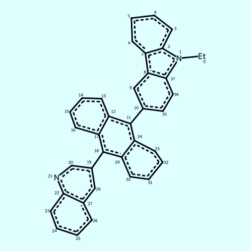 CCn1c2ccccc2c2cc(-c3c4ccccc4c(-c4cnc5ccccc5c4)c4ccccc34)ccc21